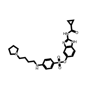 O=C(Nc1nc2cc(OS(=O)(=O)c3ccc(NCCCCN4CCCC4)cc3)ccc2[nH]1)C1CC1